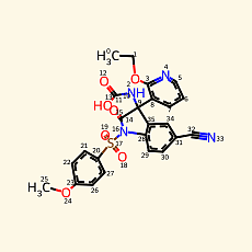 CCOc1ncccc1C1(NC(=O)O)C(=O)N(S(=O)(=O)c2ccc(OC)cc2)c2ccc(C#N)cc21